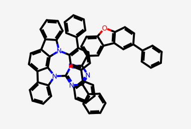 c1ccc(-c2ccc(-c3ccccc3)c(-n3c4ccccc4c4ccc5c6ccccc6n(-c6nc(-c7ccccc7)nc(-c7ccc8oc9ccc(-c%10ccccc%10)cc9c8c7)n6)c5c43)c2)cc1